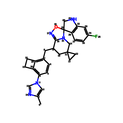 Cc1cn(-c2ccc(CC3CC4(CC4)CN4C3=NOC43CNc4cc(F)ccc43)c3c2CC3)cn1